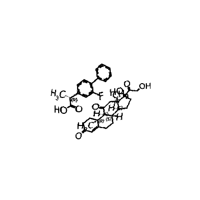 C[C@@H](C(=O)O)c1ccc(-c2ccccc2)c(F)c1.C[C@]12CCC(=O)C=C1CC[C@@H]1[C@@H]2C(=O)C[C@@]2(C)[C@H]1CC[C@]2(O)C(=O)CO